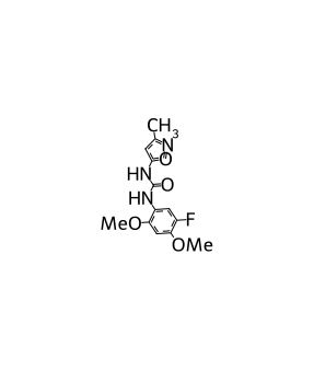 COc1cc(OC)c(NC(=O)Nc2cc(C)no2)cc1F